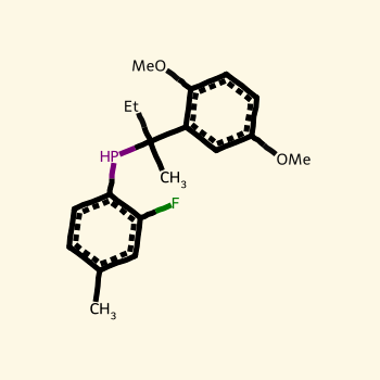 CCC(C)(Pc1ccc(C)cc1F)c1cc(OC)ccc1OC